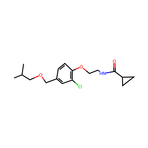 CC(C)COCc1ccc(OCCNC(=O)C2CC2)c(Cl)c1